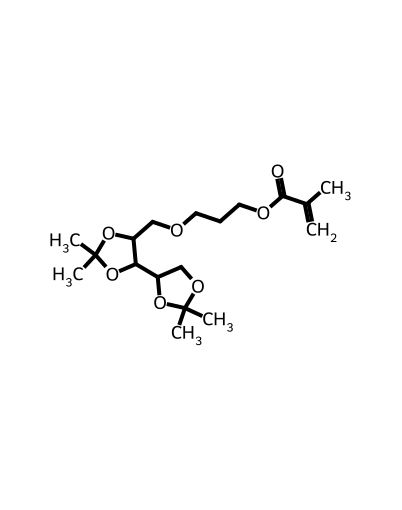 C=C(C)C(=O)OCCCOCC1OC(C)(C)OC1C1COC(C)(C)O1